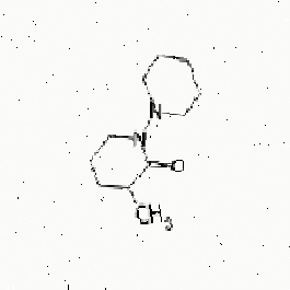 CC1CCCN(N2CCCCC2)C1=O